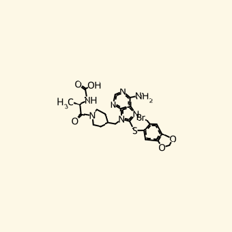 C[C@@H](NC(=O)O)C(=O)N1CCC(Cn2c(Sc3cc4c(cc3Br)OCO4)nc3c(N)ncnc32)CC1